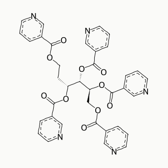 O=C(OCC[C@@H](OC(=O)c1cccnc1)[C@H](OC(=O)c1cccnc1)[C@H](COC(=O)c1cccnc1)OC(=O)c1cccnc1)c1cccnc1